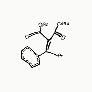 CC(C)COC(=O)C(C(=O)OCC(C)C)=C(c1ccccc1)C(C)C